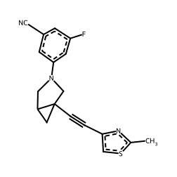 Cc1nc(C#CC23CC2CN(c2cc(F)cc(C#N)c2)C3)cs1